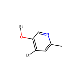 CCOc1cnc(C)cc1CC